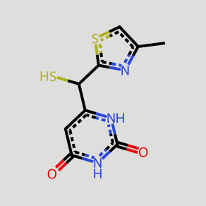 Cc1csc(C(S)c2cc(=O)[nH]c(=O)[nH]2)n1